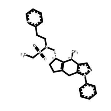 C[C@@H]1C2=C(CC[C@@H]2CN(CCc2ccccn2)S(=O)(=O)CC(F)(F)F)Cc2c1cnn2-c1ccccc1